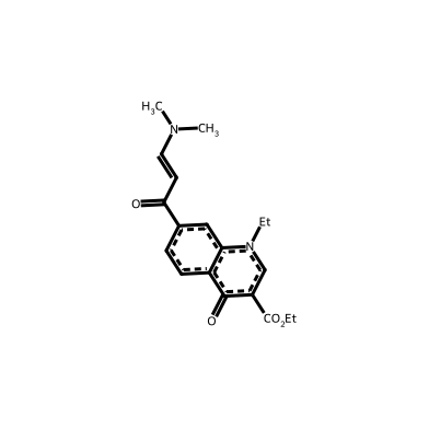 CCOC(=O)c1cn(CC)c2cc(C(=O)C=CN(C)C)ccc2c1=O